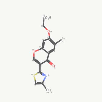 CCc1cc2c(=O)c(-c3nc(C)cs3)coc2cc1OCC(=O)O